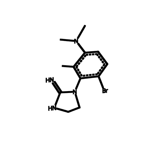 Cc1c(N(C)C)ccc(Br)c1N1CCNC1=N